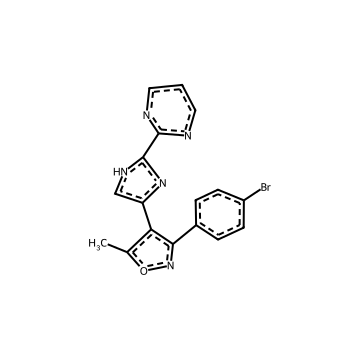 Cc1onc(-c2ccc(Br)cc2)c1-c1c[nH]c(-c2ncccn2)n1